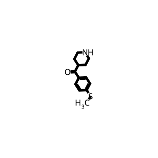 CSc1ccc(C(=O)C2CCNCC2)cc1